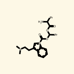 CC(C)C(OC(=O)C(N)C(C)C)OC(=O)n1cc(CCN(C)C)c2ccccc21